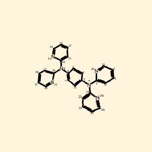 c1ccc(N(c2ccc(N(c3ccccn3)c3ccccn3)cc2)c2ccccn2)nc1